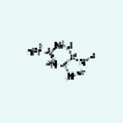 CCCc1n[c]c2c(ncn2C)n1